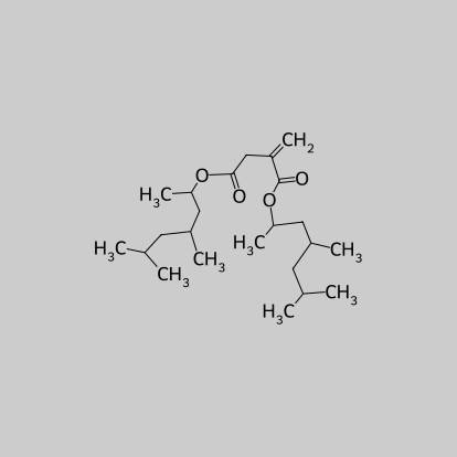 C=C(CC(=O)OC(C)CC(C)CC(C)C)C(=O)OC(C)CC(C)CC(C)C